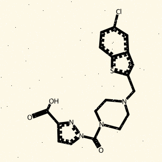 O=C(O)c1ccn(C(=O)N2CCN(Cc3cc4cc(Cl)ccc4s3)CC2)n1